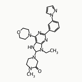 CCN1c2nc(-c3cccc(-n4cccn4)c3)nc(N3CCOCC3)c2NC1N1CCN(C)C(=O)C1